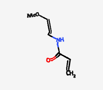 C=CC(=O)NC=COC